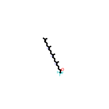 CC(C)=CCC/C(C)=C/CC/C(C)=C/CC/C(C)=C/CCC(=O)C(F)(F)F